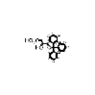 O=C(O)C[C@H](O)COC(c1ccccc1)(c1ccccc1)c1ccccc1